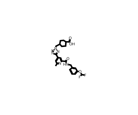 Cc1cc(-c2nnn(CC3CCC(C(=O)O)CC3)n2)cc(C(=O)NCc2cccc(OC(F)F)c2)n1